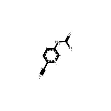 N#Cc1ccc(NC(=O)Cl)cn1